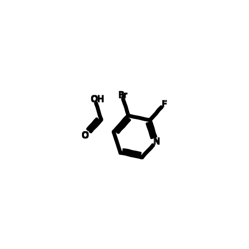 Fc1ncccc1Br.O=CO